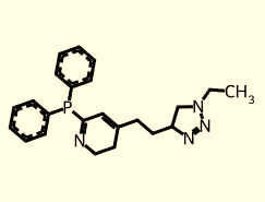 CCN1CC(CCC2=CC(P(c3ccccc3)c3ccccc3)=NCC2)N=N1